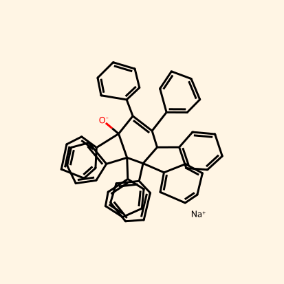 [Na+].[O-]C1(c2ccccc2)C(c2ccccc2)=C(c2ccccc2)C(c2ccccc2)C(c2ccccc2)(c2ccccc2)C1(c1ccccc1)c1ccccc1